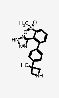 CS(=O)(=O)c1cccc(-c2ccc(C3(O)CNC3)cc2)c1-c1nn[nH]n1